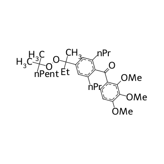 CCCCCC(C)(C)OOC(C)(CC)c1cc(CCC)c(C(=O)c2ccc(OC)c(OC)c2OC)c(CCC)c1